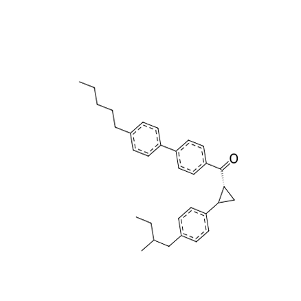 CCCCCc1ccc(-c2ccc(C(=O)[C@@H]3CC3c3ccc(CC(C)CC)cc3)cc2)cc1